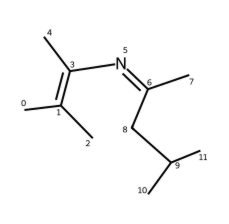 CC(C)=C(C)/N=C(/C)CC(C)C